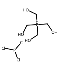 ClP(Cl)Cl.OC[PH](CO)(CO)CO